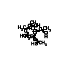 CC(O)COC(C)COC(C)CO.CC(O)COC(C)COC(C)COC(C)CO